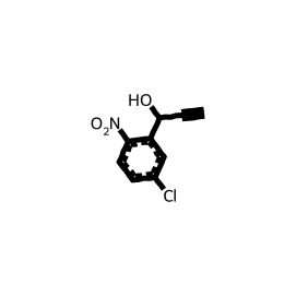 C#CC(O)c1cc(Cl)ccc1[N+](=O)[O-]